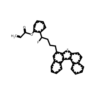 C=CC(=O)Oc1ccccc1C(F)CCCc1cc2ccccc2c2c1sc1ccc3ccccc3c12